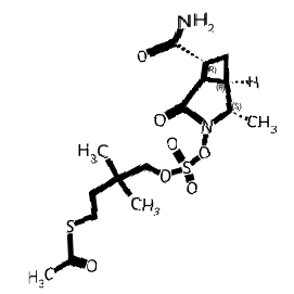 CC(=O)SCCC(C)(C)COS(=O)(=O)ON1C(=O)C2[C@@H](C[C@H]2C(N)=O)[C@@H]1C